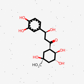 O=C(C[C@H](O)c1ccc(O)c(O)c1)[C@@H]1C[C@@](O)(C(=O)O)C[C@@H](O)[C@@H]1O